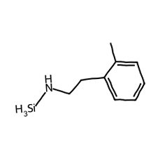 Cc1ccccc1CCN[SiH3]